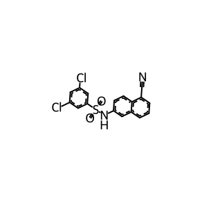 N#Cc1cccc2cc(NS(=O)(=O)c3cc(Cl)cc(Cl)c3)ccc12